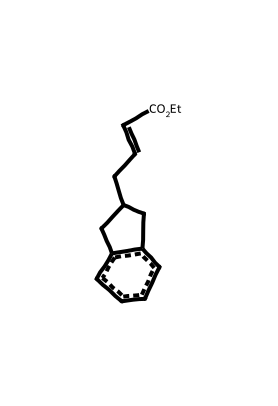 CCOC(=O)C=CCC1Cc2ccccc2C1